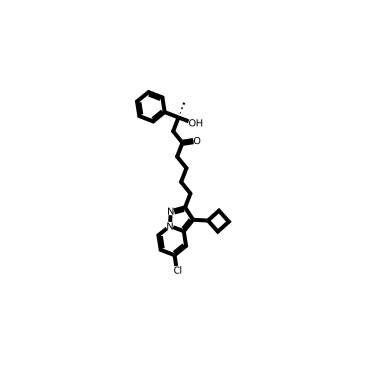 C[C@](O)(CC(=O)CCCCc1nn2ccc(Cl)cc2c1C1CCC1)c1ccccc1